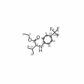 CCOC(=O)C(Nc1ccc(C(F)(F)F)cc1)C(C)C